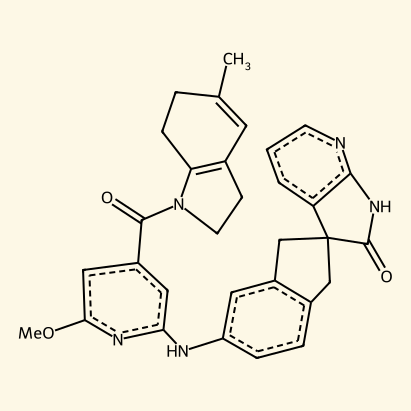 COc1cc(C(=O)N2CCC3=C2CCC(C)=C3)cc(Nc2ccc3c(c2)CC2(C3)C(=O)Nc3ncccc32)n1